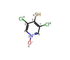 [O-][n+]1cc(Cl)c(S)c(Cl)c1